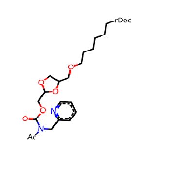 CCCCCCCCCCCCCCCCOCC1COC(COC(=O)N(Cc2ccccn2)C(C)=O)O1